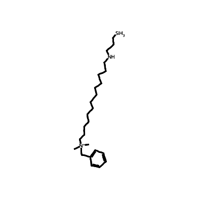 C[N+](C)(CCCCCCCCCCCCCNCCC[SiH3])Cc1ccccc1